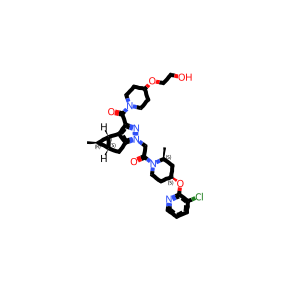 C[C@@H]1[C@@H]2Cc3c(c(C(=O)N4CCC(OCCO)CC4)nn3CC(=O)N3CC[C@H](Oc4ncccc4Cl)C[C@@H]3C)[C@H]12